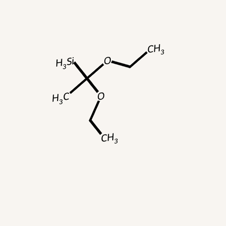 CCOC(C)([SiH3])OCC